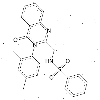 Cc1ccc(-n2c(CNS(=O)(=O)c3ccccc3)nc3ccccc3c2=O)c(C)c1